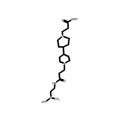 CCCN(C)CCNC(=O)CCN1CCC(C2CCN(CCC(=O)NC)CC2)CC1